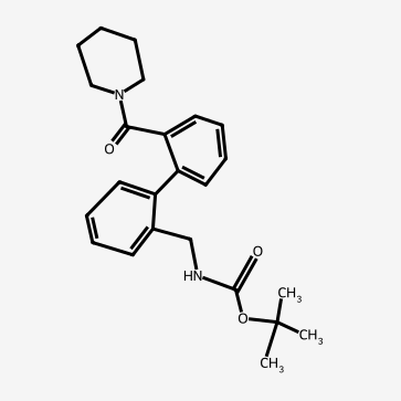 CC(C)(C)OC(=O)NCc1ccccc1-c1ccccc1C(=O)N1CCCCC1